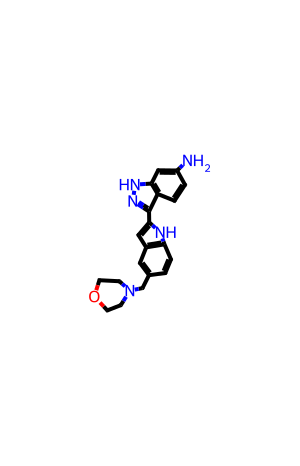 Nc1ccc2c(-c3cc4cc(CN5CCOCC5)ccc4[nH]3)n[nH]c2c1